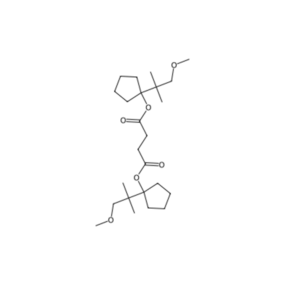 COCC(C)(C)C1(OC(=O)CCC(=O)OC2(C(C)(C)COC)CCCC2)CCCC1